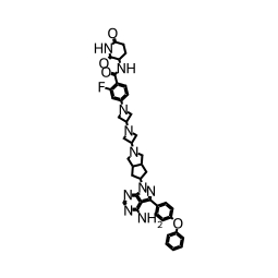 Nc1ncnc2c1c(-c1ccc(Oc3ccccc3)cc1)nn2C1CC2CN(C3CN(C4CN(c5ccc(C(=O)NC6CCC(=O)NC6=O)c(F)c5)C4)C3)CC2C1